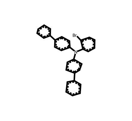 Brc1ccccc1N(c1ccc(-c2ccccc2)cc1)c1ccc(-c2ccccc2)cc1